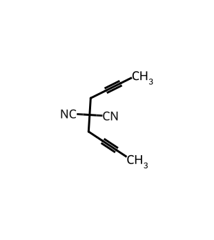 CC#CCC(C#N)(C#N)CC#CC